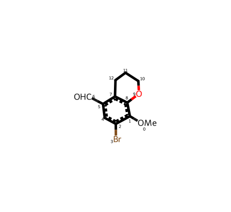 COc1c(Br)cc(C=O)c2c1OCCC2